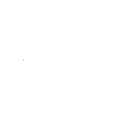 Cc1sc(C)c(COc2ccc(Br)cc2)c1CC#N